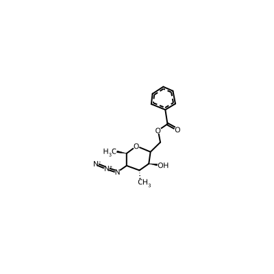 C[C@@H]1C(N=[N+]=[N-])[C@@H](C)OC(COC(=O)c2ccccc2)[C@H]1O